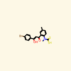 Cc1ccc(N(C)C(=S)S)c(C(=O)C=C(O)c2ccc(Br)cc2)c1